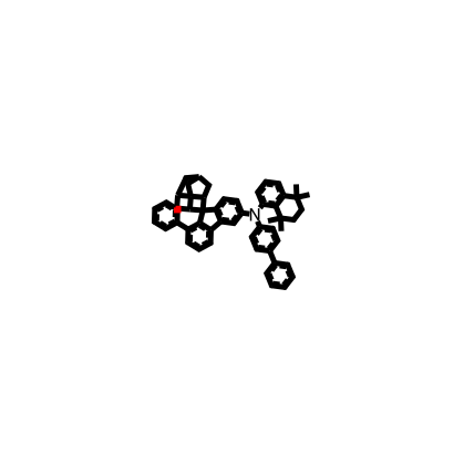 CC1(C)CCC(C)(C)c2c(N(c3ccc(-c4ccccc4)cc3)c3ccc4c(c3)-c3cccc(-c5ccccc5)c3C43C4CC5CC6CC3C64C5)cccc21